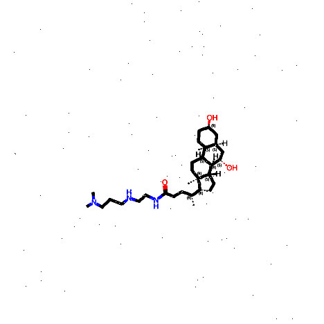 C[C@H](CCC(=O)NCCNCCCN(C)C)[C@H]1CC[C@H]2[C@@H]3[C@@H](O)C[C@@H]4C[C@H](O)CC[C@]4(C)[C@H]3CC[C@]12C